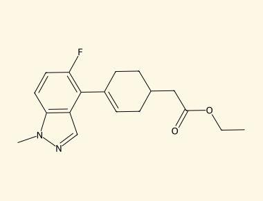 CCOC(=O)CC1CC=C(c2c(F)ccc3c2cnn3C)CC1